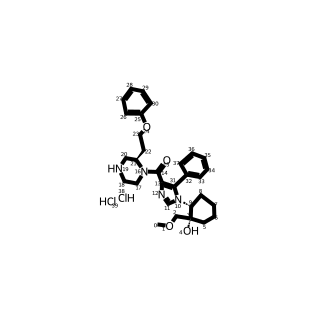 COC[C@]1(O)CCCC[C@H]1n1cnc(C(=O)N2CCNC[C@H]2CCOc2ccccc2)c1-c1ccccc1.Cl.Cl